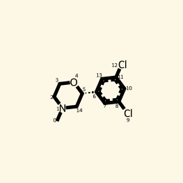 CN1CCO[C@H](c2cc(Cl)cc(Cl)c2)C1